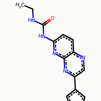 CCNC(=O)Nc1ccc2ncc(-c3cn[nH]c3)nc2n1